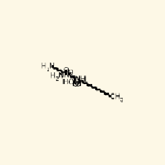 CCCCCCCCCCCCCCCC(=O)NC(CCC(=O)NC(=O)[C@@H](N)CCCCN)C(=O)O